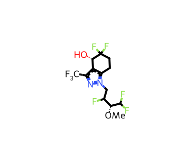 CO[C@@H](C(F)F)C(F)Cn1nc(C(F)(F)F)c2c1CCC(F)(F)[C@H]2O